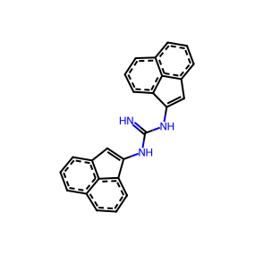 N=C(NC1=Cc2cccc3cccc1c23)NC1=Cc2cccc3cccc1c23